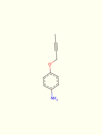 CC#CCOc1ccc(N)cc1